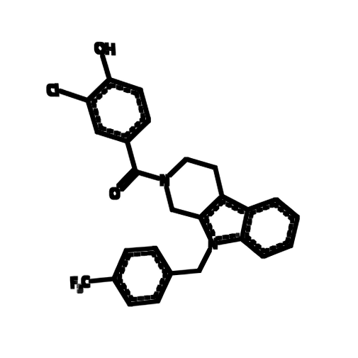 O=C(c1ccc(O)c(Cl)c1)N1CCc2c(n(Cc3ccc(C(F)(F)F)cc3)c3ccccc23)C1